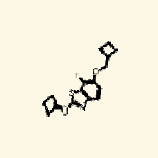 Fc1c(OCC2CCC2)ccc2nc(OC3CCC3)sc12